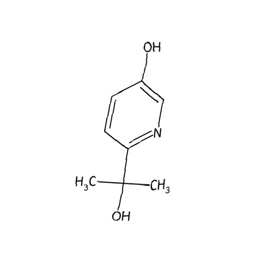 CC(C)(O)c1ccc(O)cn1